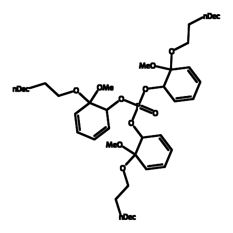 CCCCCCCCCCCCOC1(OC)C=CC=CC1OP(=O)(OC1C=CC=CC1(OC)OCCCCCCCCCCCC)OC1C=CC=CC1(OC)OCCCCCCCCCCCC